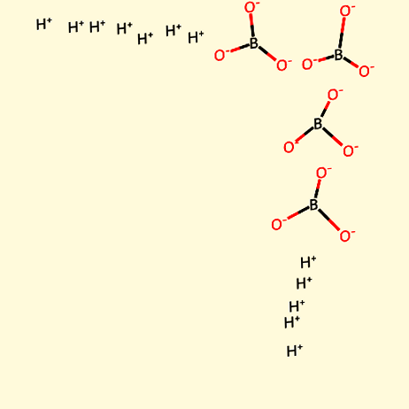 [H+].[H+].[H+].[H+].[H+].[H+].[H+].[H+].[H+].[H+].[H+].[H+].[O-]B([O-])[O-].[O-]B([O-])[O-].[O-]B([O-])[O-].[O-]B([O-])[O-]